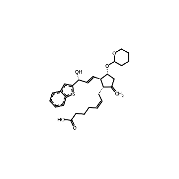 C=C1C[C@@H](OC2CCCCO2)[C@H](/C=C/[C@@H](O)c2cc3ccccc3s2)[C@H]1C/C=C\CCCC(=O)O